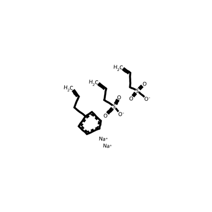 C=CCS(=O)(=O)[O-].C=CCS(=O)(=O)[O-].C=CCc1ccccc1.[Na+].[Na+]